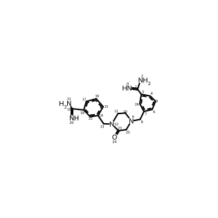 N=C(N)c1cccc(CN2CCN(Cc3cccc(C(=N)N)c3)C(=O)C2)c1